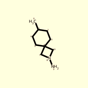 CC1CCC2(CC1)CN(N)C2